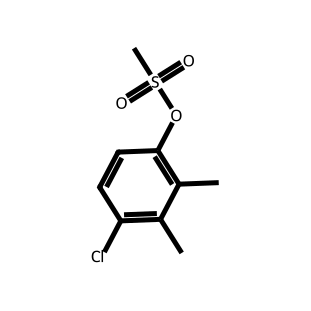 Cc1c(Cl)ccc(OS(C)(=O)=O)c1C